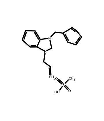 C=CCN1CN(Cc2ccccc2)c2ccccc21.CS(=O)(=O)O